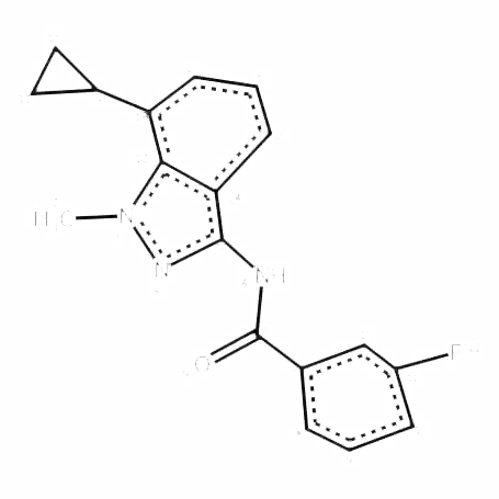 Cn1nc(NC(=O)c2cccc(F)c2)c2cccc(C3CC3)c21